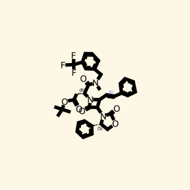 CN(Cc1cccc(C(F)(F)F)c1)C(=O)[C@@H](CC(=O)OC(C)(C)C)N1C(=O)C(N2C(=O)OC[C@@H]2c2ccccc2)C1/C=C/c1ccccc1